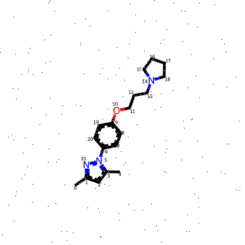 Cc1cc(C)n(-c2ccc(OCCCN3CCCC3)cc2)n1